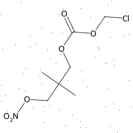 CC(C)(COC(=O)OCCl)CO[N+](=O)[O-]